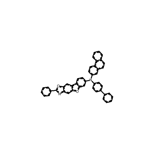 c1ccc(-c2ccc(N(c3ccc4c(ccc5ccccc54)c3)c3ccc4c(c3)oc3cc5nc(-c6ccccc6)oc5cc34)cc2)cc1